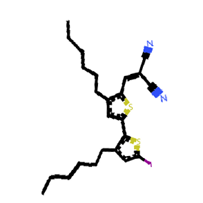 CCCCCCc1cc(-c2sc(I)cc2CCCCCC)sc1C=C(C#N)C#N